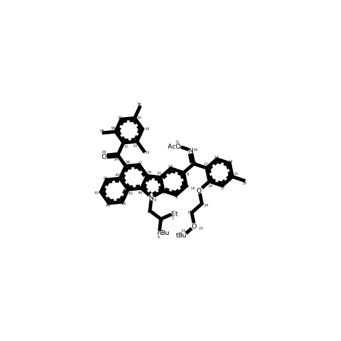 CCCCC(CC)Cn1c2ccc(/C(=N\OC(C)=O)c3ccc(C)cc3OCCOC(C)(C)C)cc2c2cc(C(=O)c3c(C)cc(C)cc3C)c3ccccc3c21